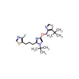 CC(C)(C)c1scnc1COc1cn(C(C)(C)C)c(CCCc2scnc2F)n1